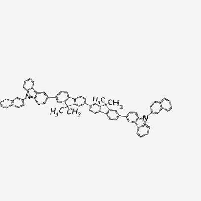 CC1(C)c2cc(-c3ccc4c(c3)C(C)(C)c3cc(-c5ccc6c(c5)c5ccccc5n6-c5ccc6ccccc6c5)ccc3-4)ccc2-c2ccc(-c3ccc4c(c3)c3ccccc3n4-c3ccc4ccccc4c3)cc21